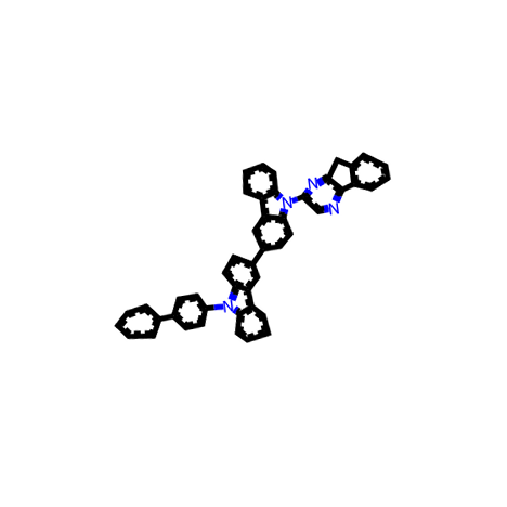 c1ccc(-c2ccc(-n3c4ccccc4c4cc(-c5ccc6c(c5)c5ccccc5n6-c5cnc6c(n5)Cc5ccccc5-6)ccc43)cc2)cc1